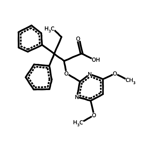 CCC(c1ccccc1)(c1ccccc1)C(Oc1nc(OC)cc(OC)n1)C(=O)O